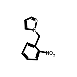 O=[N+]([O-])c1ccccc1Cn1cccn1